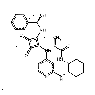 C=CC(=O)N[C@@H]1CCCC[C@@H]1Nc1cc(Nc2c(N[C@H](C)c3ccccc3)c(=O)c2=O)ccn1